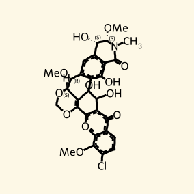 COc1c(Cl)ccc2c(=O)c3c(oc12)C1=C2[C@H](OCO1)[C@H](OC)c1cc4c(c(O)c1C2(O)C3O)C(=O)N(C)[C@@H](OC)[C@H]4O